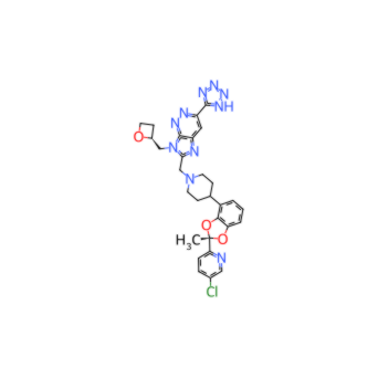 C[C@]1(c2ccc(Cl)cn2)Oc2cccc(C3CCN(Cc4nc5cc(-c6nnn[nH]6)nnc5n4C[C@@H]4CCO4)CC3)c2O1